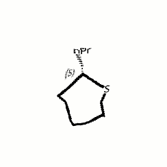 CCC[C@H]1CCCS1